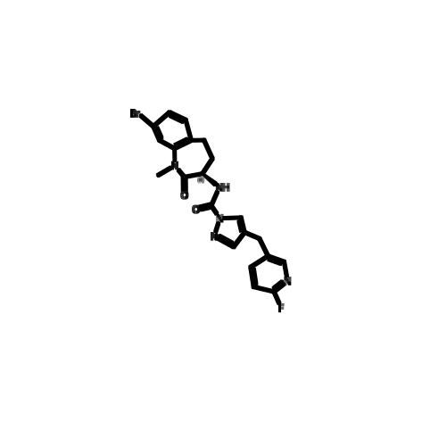 CN1C(=O)[C@H](NC(=O)n2cc(Cc3ccc(F)nc3)cn2)CCc2ccc(Br)cc21